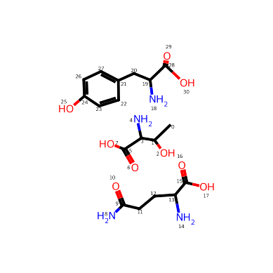 CC(O)C(N)C(=O)O.NC(=O)CCC(N)C(=O)O.NC(Cc1ccc(O)cc1)C(=O)O